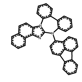 c1ccc2c(c1)-c1cccc3c(N4c5ccccc5-c5ccccc5-n5c4nc4c6ccccc6ccc45)ccc-2c13